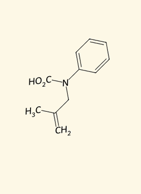 C=C(C)CN(C(=O)O)c1ccccc1